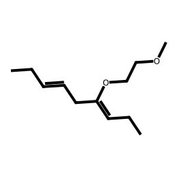 CCC=CCC(=CCC)OCCOC